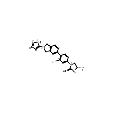 CC[C@H]1CN(c2ccc(-c3ccc4c(c3)CN(c3cnn[nH]3)C4)c(F)c2)C(=O)O1